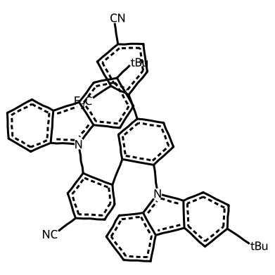 CC(C)(C)c1ccc2c(c1)c1ccccc1n2-c1ccc(-c2ccc(C#N)cc2C(F)(F)F)cc1-c1ccc(C#N)cc1-n1c2ccccc2c2cc(C(C)(C)C)ccc21